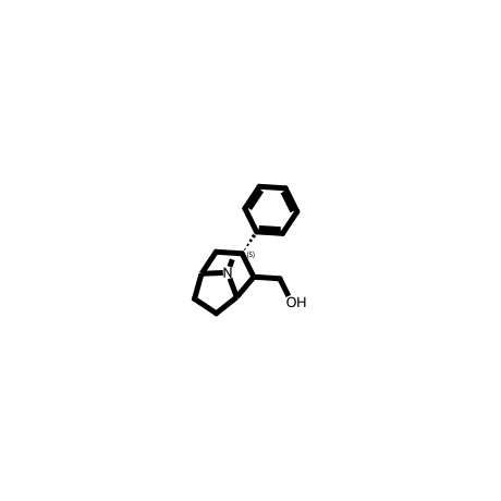 CN1C2CCC1C(CO)[C@@H](c1ccccc1)C2